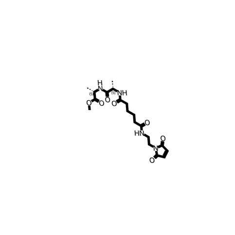 COC(=O)[C@H](C)NC(=O)[C@H](C)NC(=O)CCCCC(=O)NCCN1C(=O)C=CC1=O